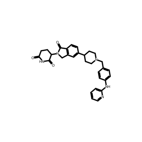 O=C1CCC(N2Cc3cc(C4CCN(Cc5ccc(Nc6ccccn6)cc5)CC4)ccc3C2=O)C(=O)N1